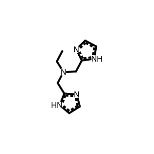 CCN(Cc1ncc[nH]1)Cc1ncc[nH]1